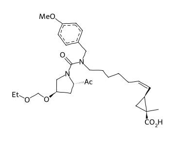 CCOCO[C@@H]1C[C@@H](C(C)=O)N(C(=O)N(CCCCC/C=C\[C@@H]2C[C@]2(C)C(=O)O)Cc2ccc(OC)cc2)C1